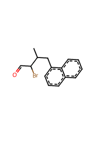 CC(Cc1cccc2ccccc12)C(Br)C=O